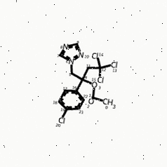 CC(=O)OC(Cn1cncn1)(CC(Cl)(Cl)Cl)c1ccc(Cl)cc1